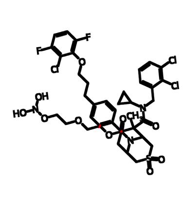 CC1(C(=O)N(Cc2cccc(Cl)c2Cl)C2CC2)C(c2ccc(CCCOc3c(F)ccc(F)c3Cl)cc2)CC2CS(=O)(=O)CC1N2C(=O)OCCOCCON(O)O